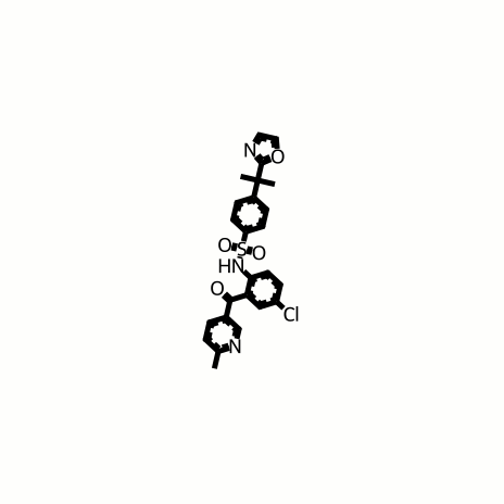 Cc1ccc(C(=O)c2cc(Cl)ccc2NS(=O)(=O)c2ccc(C(C)(C)c3ncco3)cc2)cn1